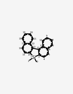 C[Si]1(C)c2ccc3ccccc3c2-c2c1ccc1ccccc21